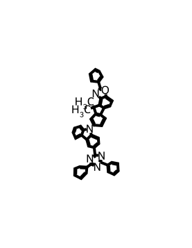 CC1(C)c2cc(-n3c4ccccc4c4cc(-c5nc(-c6ccccc6)nc(-c6ccccc6)n5)ccc43)ccc2-c2ccc3oc(-c4ccccc4)nc3c21